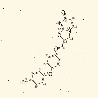 CC(C)c1ccc(Oc2ccc(OC[C@@H]3Cn4ccc(=O)nc4O3)cc2)cc1